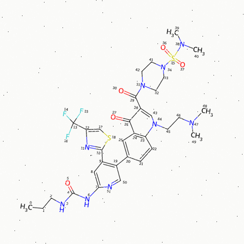 CCCNC(=O)Nc1cc(-c2nc(C(F)(F)F)cs2)c(-c2ccc3c(c2)c(=O)c(C(=O)N2CCN(S(=O)(=O)N(C)C)CC2)cn3CCN(C)C)cn1